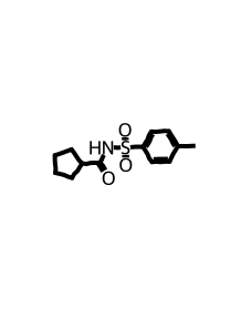 Cc1ccc(S(=O)(=O)NC(=O)C2CCCC2)cc1